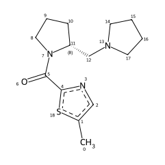 Cc1cnc(C(=O)N2CCC[C@@H]2CN2CCCC2)s1